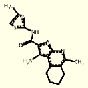 Cc1csc(NC(=O)c2sc3nc(C)c4c(c3c2N)CCCC4)n1